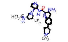 CN1CCC(c2ccc3cc(N)c(C(=O)Nc4cnccc4N4C[C@@H](NC(=O)O)C[C@@H](C(F)(F)F)C4)nc3c2)CC1